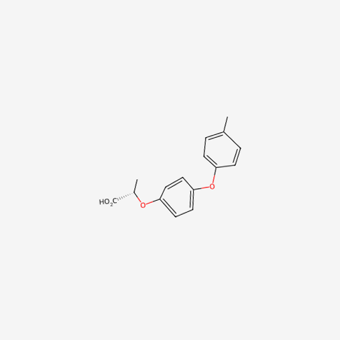 Cc1ccc(Oc2ccc(O[C@@H](C)C(=O)O)cc2)cc1